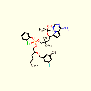 CCCCCCCCCCCCC[C@@H](COP(=O)(OC[C@](C#N)(C[C@@H](OC(C)(C)O)c1ccc2c(N)ncnn12)OC)Oc1ccccc1Cl)OCc1cc(F)cc(C#N)c1